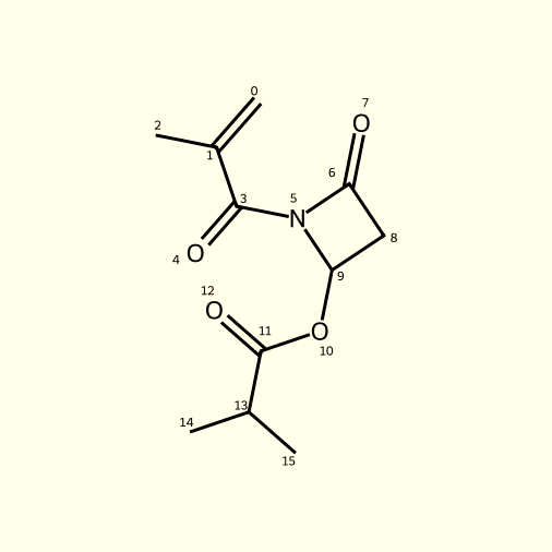 C=C(C)C(=O)N1C(=O)CC1OC(=O)C(C)C